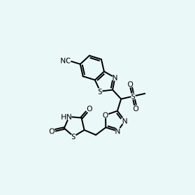 CS(=O)(=O)C(c1nnc(CC2SC(=O)NC2=O)o1)c1nc2ccc(C#N)cc2s1